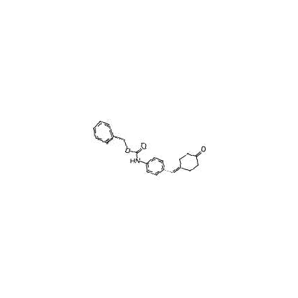 O=C1CCC(=Cc2ccc(NC(=O)OCc3ccccc3)cc2)CC1